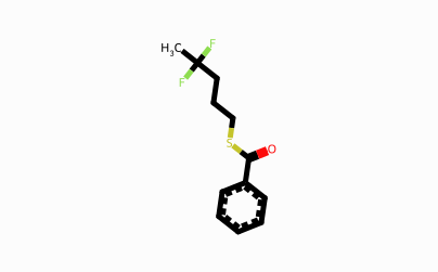 CC(F)(F)CCCSC(=O)c1ccccc1